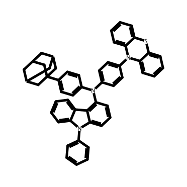 c1ccc(-n2c3ccccc3c3c(N(c4ccc(N5c6ccccc6Sc6ccccc65)cc4)c4ccc(C56CC7CC(CC(C7)C5)C6)cc4)cccc32)cc1